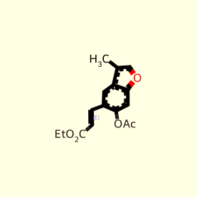 CCOC(=O)/C=C/c1cc2c(C)coc2cc1OC(C)=O